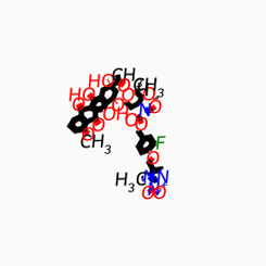 COc1cccc2c1C(=O)c1c(O)c3c(c(O)c1C2=O)C[C@@](O)(C(C)=O)C[C@@H]3O[C@H]1CC2[C@H](OCOCN2C(=O)OCc2ccc(OCc3cnc([N+](=O)[O-])n3C)c(F)c2)[C@H](C)O1